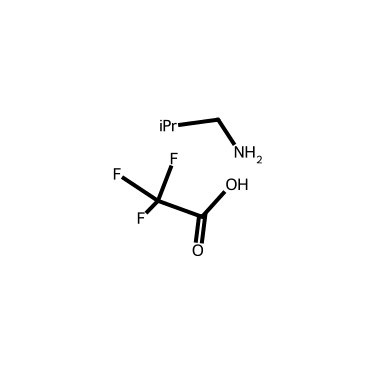 CC(C)CN.O=C(O)C(F)(F)F